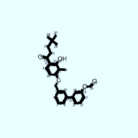 Cc1c(OCc2cccc(-c3cccc(OC=O)c3)c2)ccc(C(=O)CCC(C)(C)C)c1O